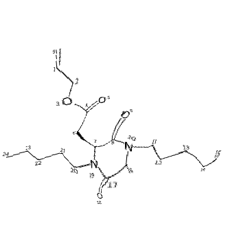 C=CCOC(=O)C[C@H]1C(=O)N(CCCCC)CC(=O)N1CCCCC